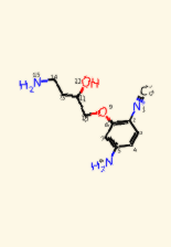 [C-]#[N+]c1ccc(N)cc1OCC(O)CCN